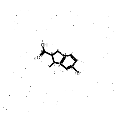 CC1c2cc(Br)ccc2CC1C(=O)O